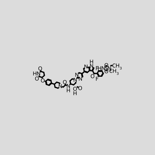 CCN(C)S(=O)(=O)Nc1ccc(F)c(C(=O)c2c[nH]c3ncc(-c4cnc(N5CCC(NC(=O)CN6CCC(c7ccc(OC8CCC(=O)NC8=O)cc7)CC6)CC5)nc4)cc23)c1F.O=CO